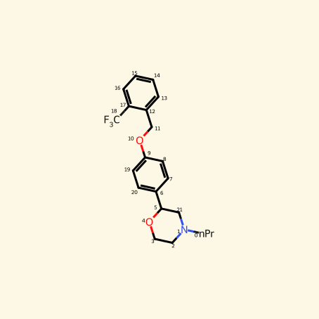 CCCN1CCOC(c2ccc(OCc3ccccc3C(F)(F)F)cc2)C1